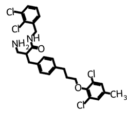 Cc1cc(Cl)c(OCCCc2ccc(CC(CN)C(=O)NCc3cccc(Cl)c3Cl)cc2)c(Cl)c1